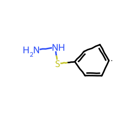 NNSc1cc[c]cc1